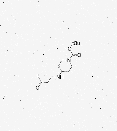 CC(C)(C)OC(=O)N1CCC(NCCC(=O)I)CC1